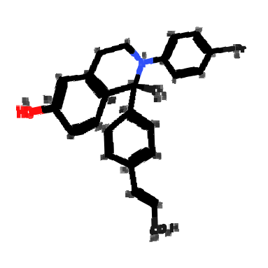 CC(C)c1ccc(N2CCc3cc(O)ccc3[C@]2(c2ccc(/C=C/C(=O)O)cc2)C(F)(F)F)cc1